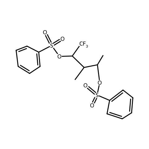 CC(OS(=O)(=O)c1ccccc1)C(C)C(OS(=O)(=O)c1ccccc1)C(F)(F)F